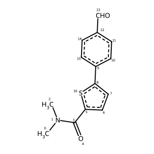 CN(C)C(=O)c1ccc(-c2ccc(C=O)cc2)s1